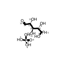 O=P(O)(O)O.[2H]C(O)[C@@H](O)[C@@H](O)[C@@H](O)C=O